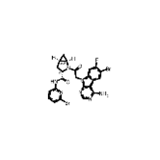 Nc1ncnc2c1c1cc(Br)c(F)cc1n2CC(=O)N1[C@@H]2C[C@@H]2C[C@H]1C(=O)Nc1cccc(Br)n1